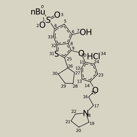 CCCCS(=O)(=O)c1cc(O)c2c(Oc3ccc(OCCN4CCCC4)cc3)c(C3CCCC3)sc2c1.Cl